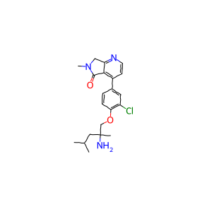 CC(C)CC(C)(N)COc1ccc(-c2ccnc3c2C(=O)N(C)C3)cc1Cl